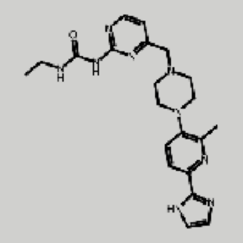 CCNC(=O)Nc1nccc(CN2CCN(c3ccc(-c4ncc[nH]4)nc3C)CC2)n1